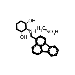 CS(=O)(=O)O.O[C@@H]1CCC[C@H](O)[C@H]1NCc1ccc2c3c(cccc13)-c1ccccc1-2